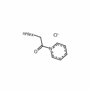 CCCCCCCC(=O)[n+]1ccccc1.[Cl-]